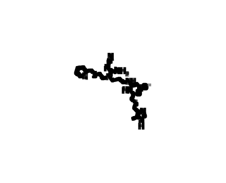 Cc1[nH]cnc1CSCCNC(=C[N+](=O)[O-])NCCCN(CCSCc1ccccn1)C(N)=NC#N